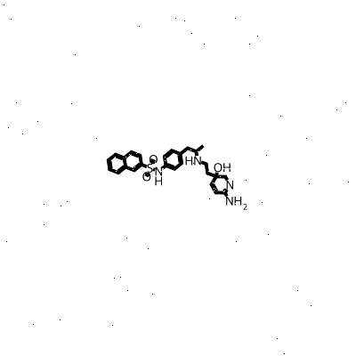 CC(Cc1ccc(NS(=O)(=O)c2ccc3ccccc3c2)cc1)NCCC1(O)C=CC(N)=NC1